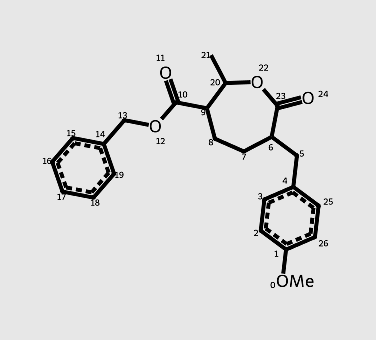 COc1ccc(CC2CCC(C(=O)OCc3ccccc3)C(C)OC2=O)cc1